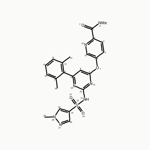 CNC(=O)c1ccc(Oc2cc(-c3c(C)cccc3C)nc(NS(=O)(=O)c3cnn(C)c3)n2)cn1